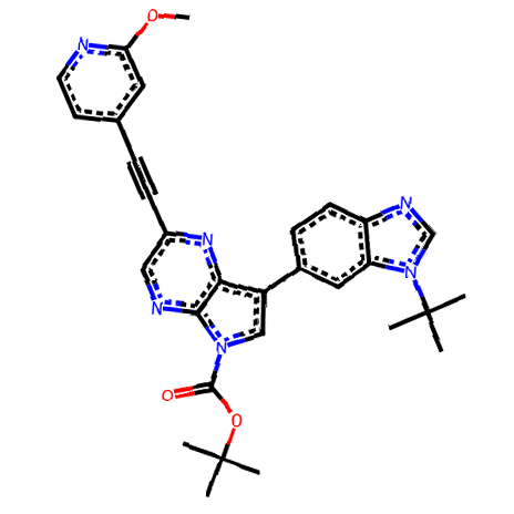 COc1cc(C#Cc2cnc3c(n2)c(-c2ccc4ncn(C(C)(C)C)c4c2)cn3C(=O)OC(C)(C)C)ccn1